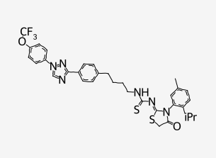 Cc1ccc(C(C)C)c(N2C(=O)CS/C2=N\C(=S)NCCCCc2ccc(-c3ncn(-c4ccc(OC(F)(F)F)cc4)n3)cc2)c1